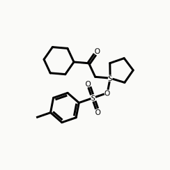 Cc1ccc(S(=O)(=O)OS2(CC(=O)C3CCCCC3)CCCC2)cc1